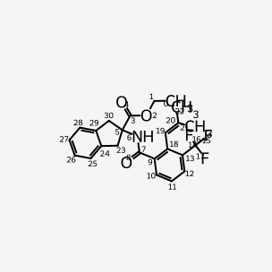 CCOC(=O)C1(NC(=O)c2cccc(C(F)(F)F)c2C=C(C)C)Cc2ccccc2C1